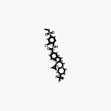 CCS(=O)(=O)c1ccc(NC(=O)c2ccc3c(c2)cc(CN2CCC(C(F)(F)F)CC2)n3C2CC2)c(Cl)c1